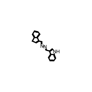 C1=C(/C=N/N=C/c2c[nH]c3ccccc23)c2ccccc2C1